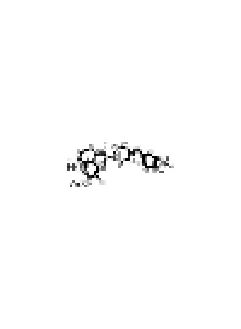 CC(=O)O[C@@H]1[C][C@@]2(O)[C@H](C)CC[C@@H]([C@H](C)CN3CCN(Cc4ccc5c(c4)OCO5)CC3)[C@H]2C=C1C